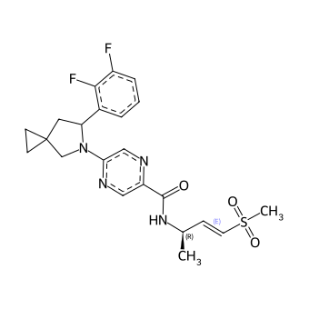 C[C@H](/C=C/S(C)(=O)=O)NC(=O)c1cnc(N2CC3(CC3)CC2c2cccc(F)c2F)cn1